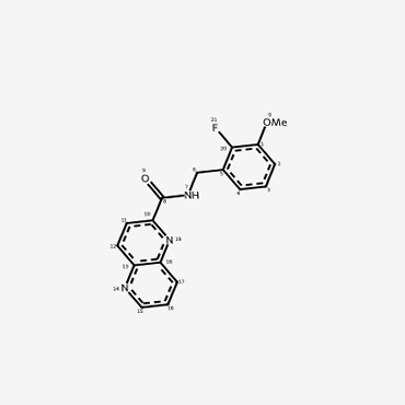 COc1cccc(CNC(=O)c2ccc3ncccc3n2)c1F